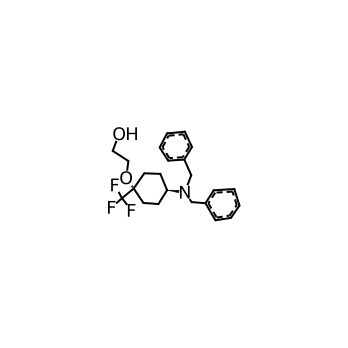 OCCO[C@]1(C(F)(F)F)CC[C@@H](N(Cc2ccccc2)Cc2ccccc2)CC1